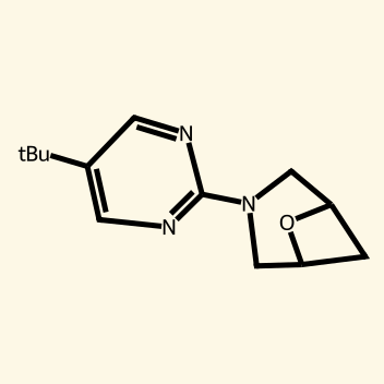 CC(C)(C)c1cnc(N2CC3CC(C2)O3)nc1